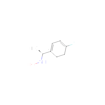 C[C@H](NO)C1=CC=C(F)CC1